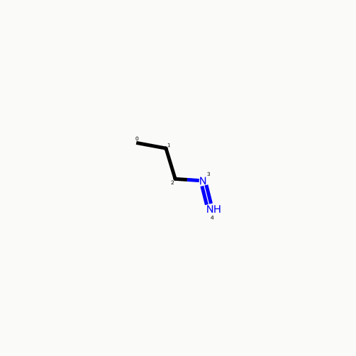 CCCN=N